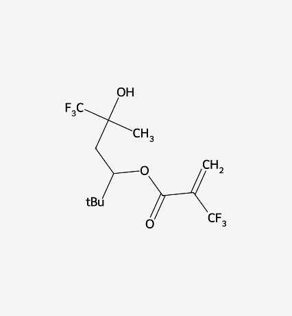 C=C(C(=O)OC(CC(C)(O)C(F)(F)F)C(C)(C)C)C(F)(F)F